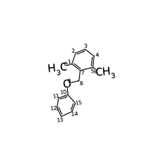 Cc1cccc(C)c1COc1c[c]ccc1